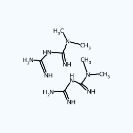 CN(C)C(=N)NC(=N)N.CN(C)C(=N)NC(=N)N